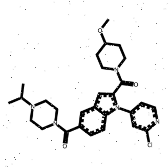 COC1CCN(C(=O)c2cc3cc(C(=O)N4CCN(C(C)C)CC4)ccc3n2-c2ccnc(Cl)c2)CC1